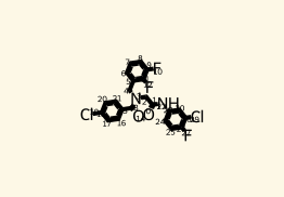 O=C(CN(Cc1cccc(F)c1F)C(=O)c1ccc(Cl)cc1)Nc1ccc(F)c(Cl)c1